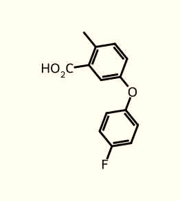 Cc1ccc(Oc2ccc(F)cc2)cc1C(=O)O